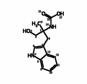 CC(CO)(Cc1c[nH]c2ccccc12)NC(=O)O